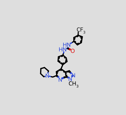 Cn1ncc2c(-c3ccc(NC(=O)Nc4cccc(C(F)(F)F)c4)cc3)cc(CN3CCCCC3)nc21